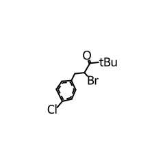 CC(C)(C)C(=O)C(Br)Cc1ccc(Cl)cc1